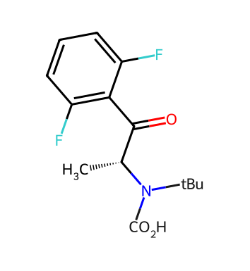 C[C@H](C(=O)c1c(F)cccc1F)N(C(=O)O)C(C)(C)C